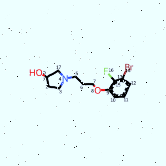 OC1CCN(CCCOc2cccc(Br)c2F)C1